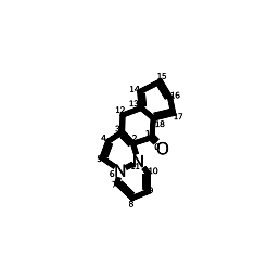 O=C1C2=C(C=CN3C=CC=CN23)Cc2ccccc21